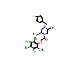 Cc1c(Br)c(Br)c(Br)c(Br)c1OCC(=O)N1CC(C)N(Cc2ccc(F)cc2)CC1C